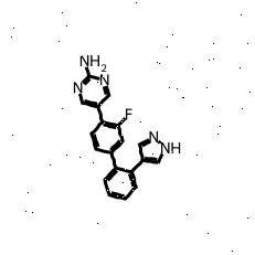 Nc1ncc(-c2ccc(-c3ccccc3-c3cn[nH]c3)cc2F)cn1